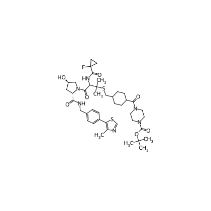 Cc1ncsc1-c1ccc(CNC(=O)[C@@H]2C[C@@H](O)CN2C(=O)C(NC(=O)C2(F)CC2)C(C)(C)SCC2CCC(C(=O)N3CCN(C(=O)OC(C)(C)C)CC3)CC2)cc1